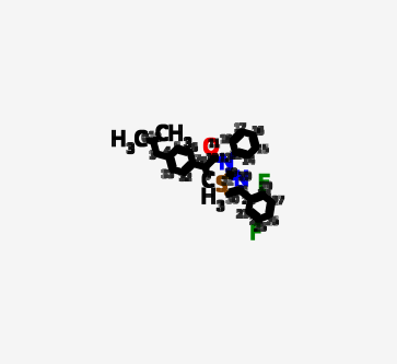 CC(C)Cc1ccc(C(C)C(=O)N(c2ccccc2)c2nc(-c3cc(F)ccc3F)cs2)cc1